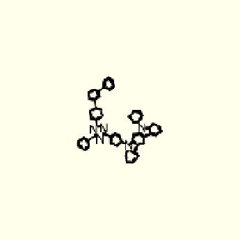 c1ccc(-c2cccc(-c3ccc(-c4nc(-c5ccccc5)nc(-c5ccc(-n6c7ccccc7c7cc8c9ccccc9n(-c9ccccc9)c8cc76)cc5)n4)cc3)c2)cc1